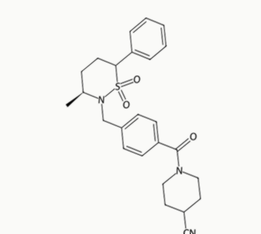 C[C@H]1CCC(c2ccccc2)S(=O)(=O)N1Cc1ccc(C(=O)N2CCC(C#N)CC2)cc1